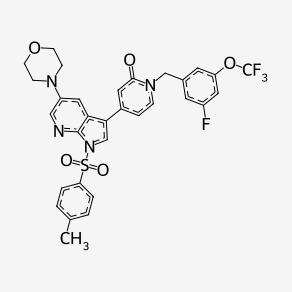 Cc1ccc(S(=O)(=O)n2cc(-c3ccn(Cc4cc(F)cc(OC(F)(F)F)c4)c(=O)c3)c3cc(N4CCOCC4)cnc32)cc1